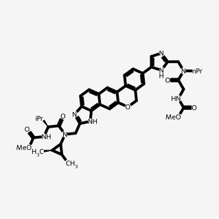 CCCN(Cc1ncc(-c2ccc3c(c2)COc2cc4c(ccc5nc(CN(C(=O)[C@@H](NC(=O)OC)C(C)C)C6C(C)[C@H]6C)[nH]c54)cc2-3)[nH]1)C(=O)CNC(=O)OC